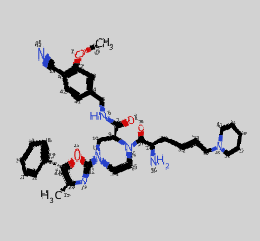 COc1cc(CNC(=O)[C@@H]2CN(C3=N[C@@H](C)[C@H](c4ccccc4)O3)CCN2C(=O)C(N)CCCCN2CCCCC2)ccc1C#N